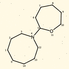 C1CCCN(C2CCCCCO2)CCC1